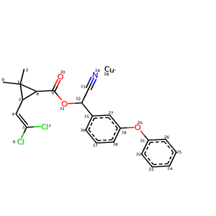 CC1(C)C(C=C(Cl)Cl)C1C(=O)OC(C#N)c1cccc(Oc2ccccc2)c1.[Cu]